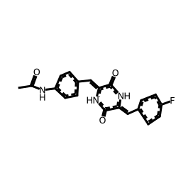 CC(=O)Nc1ccc(C=c2[nH]c(=O)c(=Cc3ccc(F)cc3)[nH]c2=O)cc1